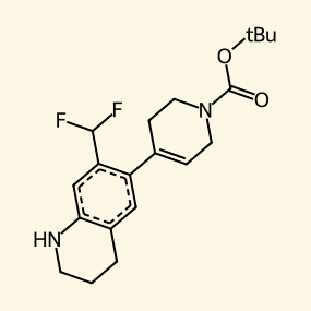 CC(C)(C)OC(=O)N1CC=C(c2cc3c(cc2C(F)F)NCCC3)CC1